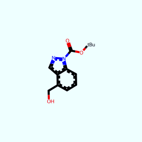 CC(C)(C)OC(=O)n1ncc2c(CO)cccc21